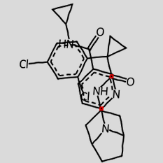 O=C(NC1CC1)c1ccc(N2C3CCC2CC(NC(=O)C2(c4ccc(Cl)cc4Cl)CC2)C3)nc1